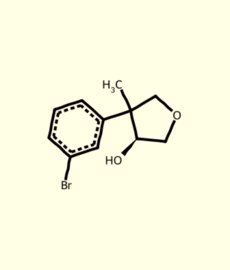 CC1(c2cccc(Br)c2)COC[C@H]1O